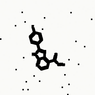 COC(=O)c1ccnc2[nH]c(-c3ccc(F)cc3)nc12